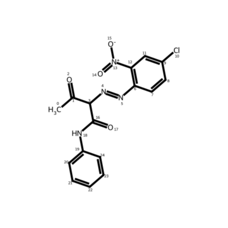 CC(=O)C(N=Nc1ccc(Cl)cc1[N+](=O)[O-])C(=O)Nc1ccccc1